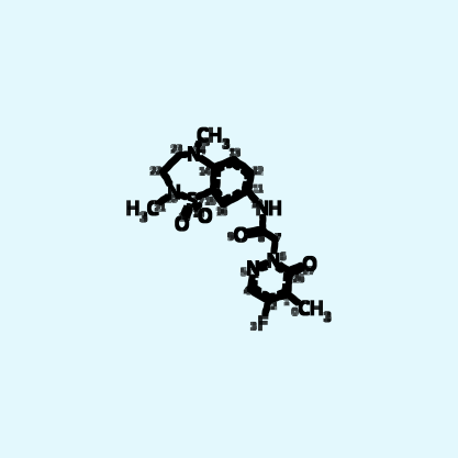 Cc1c(F)cnn(CC(=O)Nc2ccc3c(c2)S(=O)(=O)N(C)CCN3C)c1=O